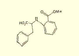 COC(=O)c1ccccc1NC(Cc1ccccc1)C(=O)O